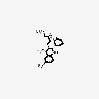 CNC[C@H](C)CC[C@@H]1[C@H](C)c2cc(C(F)(F)F)ccc2N[C@H]1C1C=CC=C(F)C1